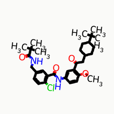 COc1ccc(NC(=O)c2cc(CNC(=O)C(C)(C)C)ccc2Cl)cc1C(=O)CC1CCC(C(C)(C)C)CC1